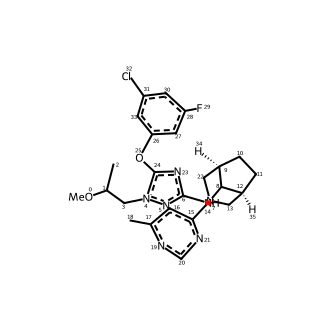 COC(C)Cn1nc(NC2[C@@H]3CC[C@H]2CN(c2cc(C)ncn2)C3)nc1Oc1cc(F)cc(Cl)c1